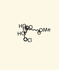 COC(=O)CCCCCC[C@]12C(=O)C[C@@H](O)[C@@H]1C2C[C@@](C)(O)CCc1cccc(Cl)c1